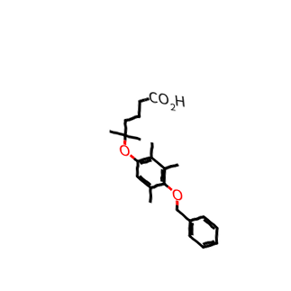 Cc1cc(OC(C)(C)CCCC(=O)O)c(C)c(C)c1OCc1ccccc1